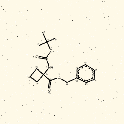 CC(C)(C)OC(=O)NC1(C(=O)OCc2ccccc2)CCC1